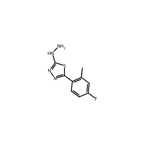 Cc1cc(F)ccc1-c1nnc(NN)s1